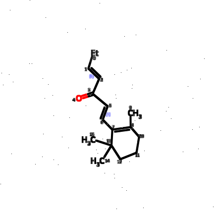 CC/C=C/C(=O)/C=C/C1=C(C)CCCC1(C)C